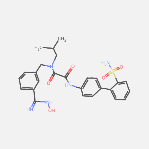 CC(C)CN(Cc1cccc(C(=N)NO)c1)C(=O)C(=O)Nc1ccc(-c2ccccc2S(N)(=O)=O)cc1